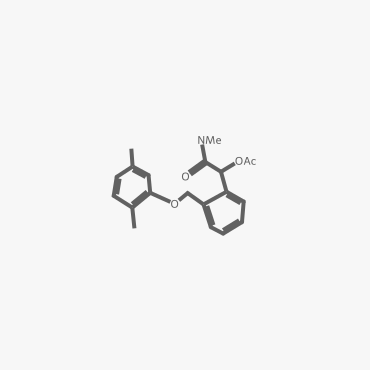 CNC(=O)C(OC(C)=O)c1ccccc1COc1cc(C)ccc1C